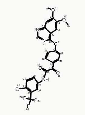 COc1cc2ncnc(Oc3ccc(C(=O)C(=O)Nc4ccc(Cl)c(C(F)(F)F)c4)cc3)c2cc1OC